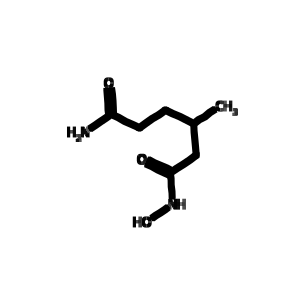 CC(CCC(N)=O)CC(=O)NO